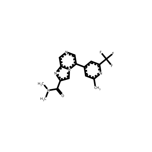 Cc1cc(-c2cncc3nc(C(=O)N(C)C)cn23)cc(C(F)(F)F)n1